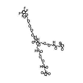 O=C(CCOCCOCCNC(=O)CCN1C(=O)C=CC1=O)NCCCCC(NC(=O)CCOCCOCCNC(=O)CCN1C(=O)C=CC1=O)C(=O)NCCOCCOCCOCCOCCC(=O)Oc1c(F)c(F)cc(F)c1F